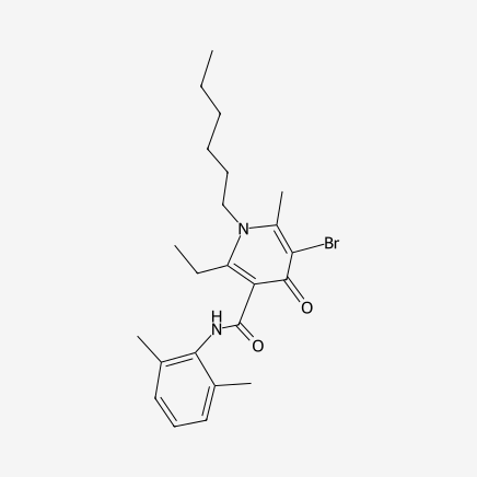 CCCCCCn1c(C)c(Br)c(=O)c(C(=O)Nc2c(C)cccc2C)c1CC